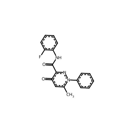 Cc1cc(=O)c(C(=O)Nc2ccccc2F)nn1-c1ccccc1